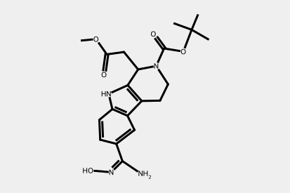 COC(=O)CC1c2[nH]c3ccc(/C(N)=N\O)cc3c2CCN1C(=O)OC(C)(C)C